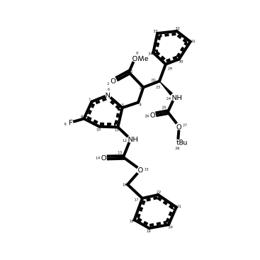 COC(=O)C(Cc1ncc(F)cc1NC(=O)OCc1ccccc1)[C@H](NC(=O)OC(C)(C)C)c1ccccc1